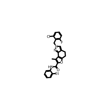 CCc1ccccc1NC(=O)c1oc2c(c1C)-c1nn(Cc3c(F)cccc3Cl)cc1CC2